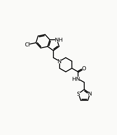 O=C(NCc1nccs1)C1CCN(Cc2c[nH]c3ccc(Cl)cc23)CC1